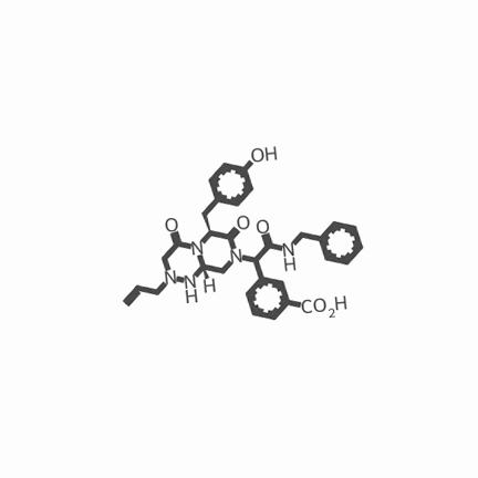 C=CCN1CC(=O)N2[C@H](CN(C(C(=O)NCc3ccccc3)c3cccc(C(=O)O)c3)C(=O)[C@@H]2Cc2ccc(O)cc2)N1